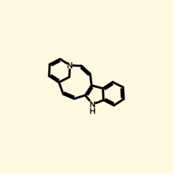 C1=CN2C=Cc3c([nH]c4ccccc34)C=CC(=C1)C2